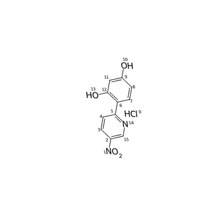 Cl.O=[N+]([O-])c1ccc(-c2ccc(O)cc2O)nc1